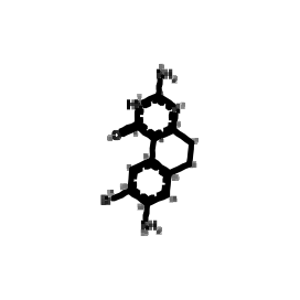 Nc1nc2c(c(=O)[nH]1)-c1cc(Br)c(N)cc1CC2